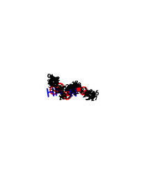 Cc1ccc(S(=O)(=O)NCC(C)Oc2nc3c(ccn3COCC[Si](C)(C)C)cc2Br)cc1